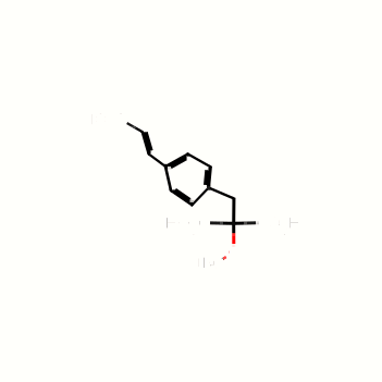 CC(C)(C)OC(Cc1ccc(/C=C/C(=O)O)cc1)(C(=O)O)C(=O)O